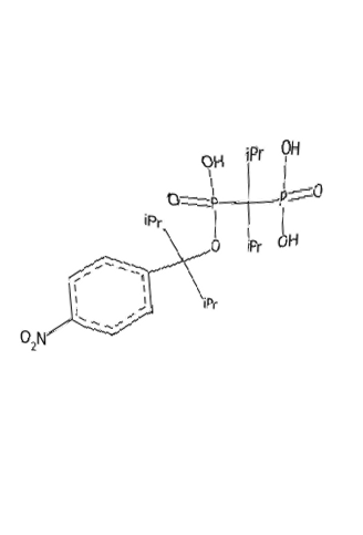 CC(C)C(OP(=O)(O)C(C(C)C)(C(C)C)P(=O)(O)O)(c1ccc([N+](=O)[O-])cc1)C(C)C